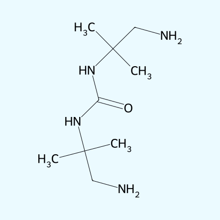 CC(C)(CN)NC(=O)NC(C)(C)CN